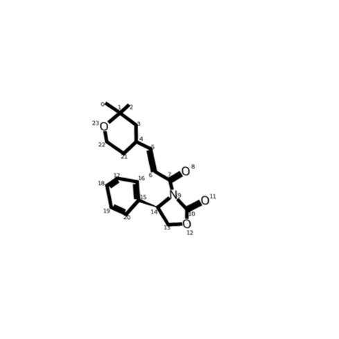 CC1(C)CC(/C=C/C(=O)N2C(=O)OC[C@H]2c2ccccc2)CCO1